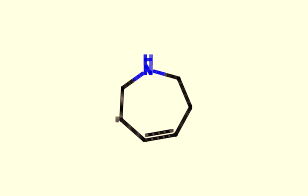 [C]1C=CCCNC1